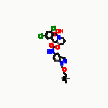 C[Si](C)(C)CCOCn1ncc2cc(NC(=O)O[C@H](c3cc(Cl)cc(Cl)c3)[C@H]3CCCCN3C(=O)O)ccc21